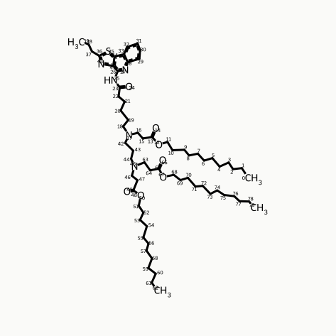 CCCCCCCCCCCCOC(=O)CCN(CCCCCC(=O)Nc1nc2ccccc2c2sc(CCC)nc12)CCCN(CCC(=O)OCCCCCCCCCCCC)CCC(=O)OCCCCCCCCCCCC